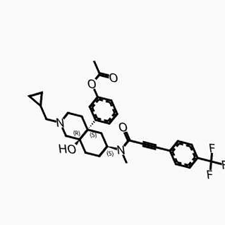 CC(=O)Oc1cccc([C@@]23CCN(CC4CC4)C[C@@]2(O)CC[C@H](N(C)C(=O)C#Cc2ccc(C(F)(F)F)cc2)C3)c1